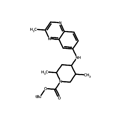 Cc1cnc2ccc(NC3CC(C)N(C(=O)OC(C)(C)C)CC3C)cc2n1